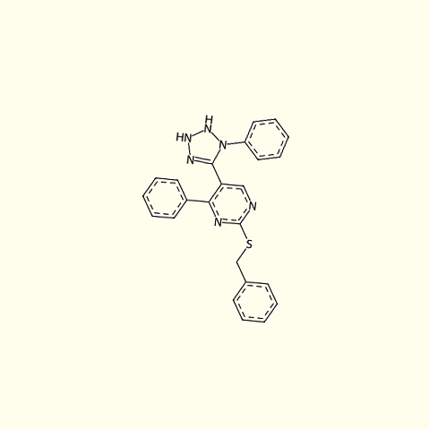 c1ccc(CSc2ncc(C3=NNNN3c3ccccc3)c(-c3ccccc3)n2)cc1